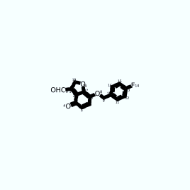 O=CC1=C2C(=O)C=CC(OCc3ccc(F)cc3)=C2OC1